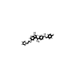 COC(c1ccc(NCc2ccc(C)cc2)nc1)c1c[nH]c2ncc(OCCN3CCCC3)cc12